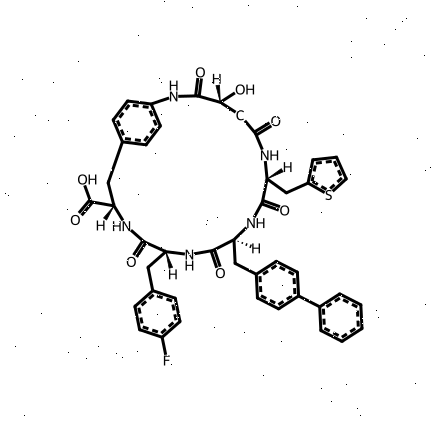 O=C1C[C@@H](O)C(=O)Nc2ccc(cc2)C[C@@H](C(=O)O)NC(=O)[C@@H](Cc2ccc(F)cc2)NC(=O)[C@H](Cc2ccc(-c3ccccc3)cc2)NC(=O)[C@@H](Cc2cccs2)N1